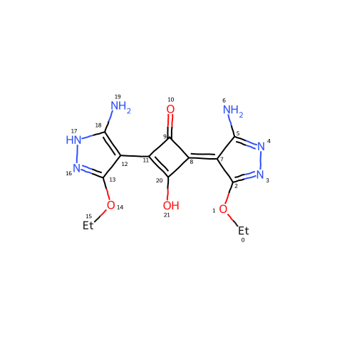 CCOC1=NN=C(N)/C1=C1\C(=O)C(c2c(OCC)n[nH]c2N)=C1O